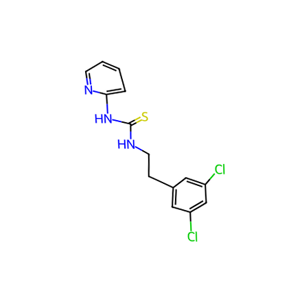 S=C(NCCc1cc(Cl)cc(Cl)c1)Nc1ccccn1